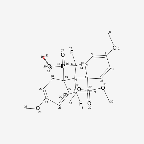 COC1=CCC(C(C(F)(F)F)(C(F)(F)F)C2(P(=O)(OC)OC)C=CC(OC)=CC2)(P(=O)(OC)OC)C=C1